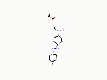 C=C(C)C(=O)OCCN(C)c1ccc(N=Nc2ccc(S(=O)(=O)O)cc2)cc1